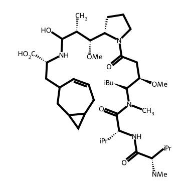 CC[C@H](C)C([C@@H](CC(=O)N1CCC[C@H]1[C@H](OC)[C@@H](C)C(O)N[C@H](CC1C=CCC2CC2C1)C(=O)O)OC)N(C)C(=O)[C@H](NC(=O)[C@@H](NC)C(C)C)C(C)C